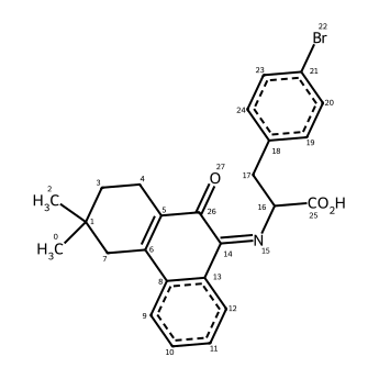 CC1(C)CCC2=C(C1)c1ccccc1/C(=N/C(Cc1ccc(Br)cc1)C(=O)O)C2=O